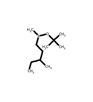 CCC(C)CCB(C)OC(C)(C)C